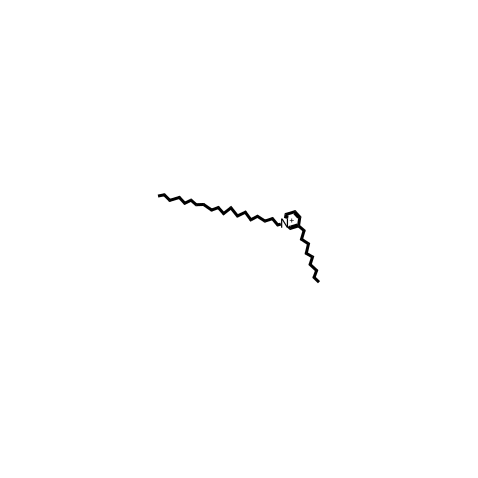 CCCCCCCCCCCCCCCCCCC[n+]1cccc(CCCCCCCCC)c1